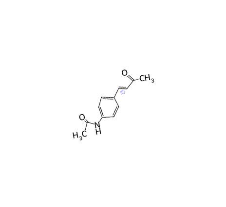 CC(=O)/C=C/c1ccc(NC(C)=O)cc1